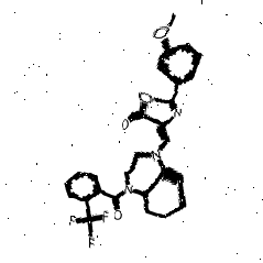 COc1cccc(C2=NC(=CN3CCN(C(=O)c4ccccc4C(F)(F)F)C4CCCC=C43)C(=O)O2)c1